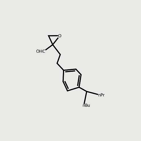 CCCCC(CCC)c1ccc(CCC2(C=O)CO2)cc1